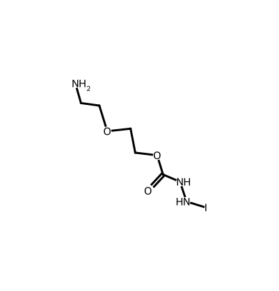 NCCOCCOC(=O)NNI